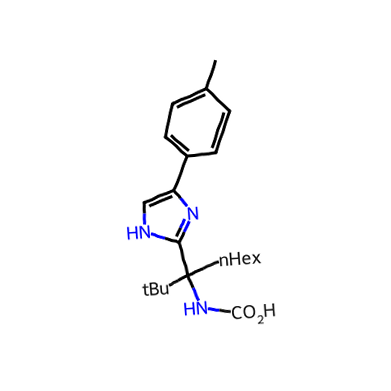 CCCCCCC(NC(=O)O)(c1nc(-c2ccc(C)cc2)c[nH]1)C(C)(C)C